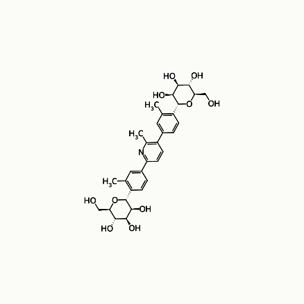 Cc1cc(-c2ccc(-c3ccc([C@H]4O[C@H](CO)[C@@H](O)[C@H](O)[C@@H]4O)c(C)c3)c(C)n2)ccc1[C@H]1O[C@H](CO)[C@@H](O)[C@H](O)[C@@H]1O